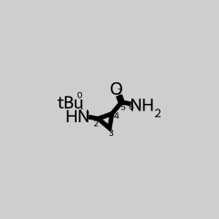 CC(C)(C)NC1CC1C(N)=O